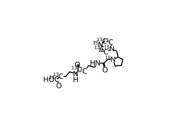 C[15N]1[13CH2][13CH2][15N](CC2CCC[15N]2CC(=O)NCC[13CH2][13C](=O)NCC[13CH2][13C](=O)O)[13CH2][13CH2]1